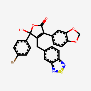 O=C1OC(O)(c2ccc(Br)cc2)C(Cc2ccc3nsnc3c2)=C1c1ccc2c(c1)OCO2